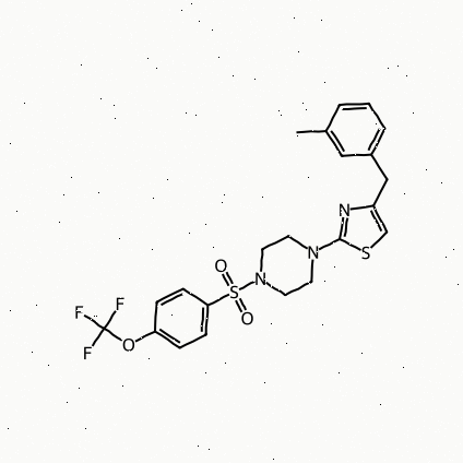 Cc1cccc(Cc2csc(N3CCN(S(=O)(=O)c4ccc(OC(F)(F)F)cc4)CC3)n2)c1